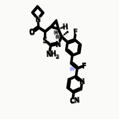 C[C@]1(c2cc(/C=C(\F)c3ccc(C#N)cn3)ccc2F)N=C(N)SC(C(=O)N2CCC2)C2C[C@H]21